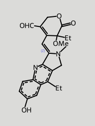 CCc1c2c(nc3ccc(O)cc13)/C(=C/C1=C(C=O)COC(=O)C1(CC)OC)N(C)C2